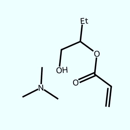 C=CC(=O)OC(CC)CO.CN(C)C